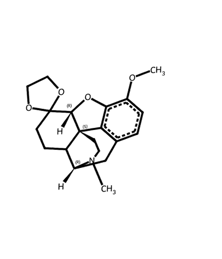 COc1ccc2c3c1O[C@H]1C4(CCC5[C@@H](C2)N(C)CC[C@@]351)OCCO4